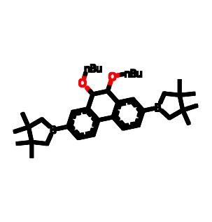 CCCCOC1c2cc(B3CC(C)(C)C(C)(C)C3)ccc2-c2ccc(B3CC(C)(C)C(C)(C)C3)cc2C1OCCCC